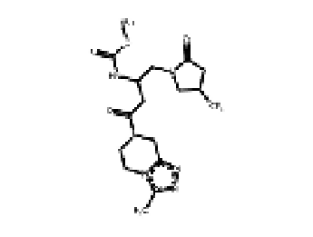 CC(C)(C)OC(=O)NC(CC(=O)N1CCn2c(nnc2C(F)(F)F)C1)CN1CC(C(F)(F)F)CC1=O